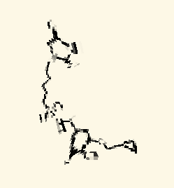 C[C@@H](NS(=O)(=O)CCCCCN1CC(=O)NC1=O)c1cc(F)c(Cl)c(OCC2CC2)c1